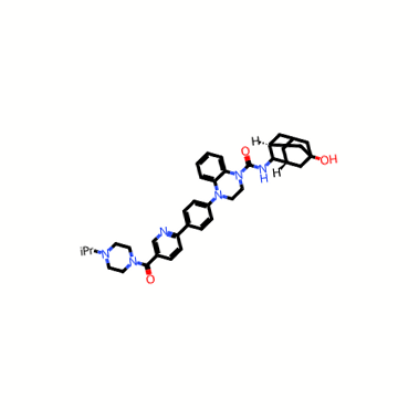 CC(C)N1CCN(C(=O)c2ccc(-c3ccc(N4CCN(C(=O)NC5[C@@H]6CC7C[C@H]5CC(O)(C7)C6)c5ccccc54)cc3)nc2)CC1